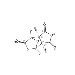 CC12C[C@@H](O)C(C)(O1)[C@H]1C(=O)OC(=O)[C@H]12